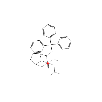 CC(C)(C)OC(=O)N1C2CCC1C(NC(c1ccccc1)(c1ccccc1)c1ccccc1)C(OC(F)F)C2